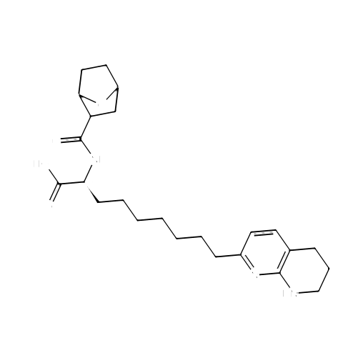 O=C(N[C@@H](CCCCCCCc1ccc2c(n1)NCCC2)C(=O)O)C1CC2CCC1O2